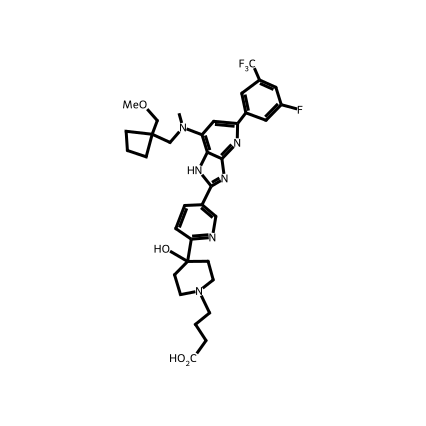 COCC1(CN(C)c2cc(-c3cc(F)cc(C(F)(F)F)c3)nc3nc(-c4ccc(C5(O)CCN(CCCC(=O)O)CC5)nc4)[nH]c23)CCC1